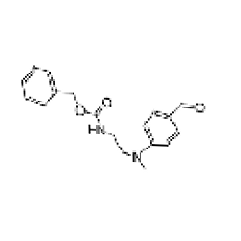 CN(CCNC(=O)OCc1ccccc1)c1ccc(C=O)cc1